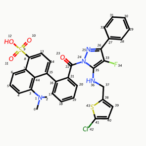 CN(C)c1cccc2c(S(=O)(=O)O)ccc(-c3ccccc3C(=O)n3nc(-c4ccccc4)c(F)c3NCc3ccc(Cl)s3)c12